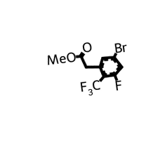 COC(=O)Cc1cc(Br)cc(F)c1C(F)(F)F